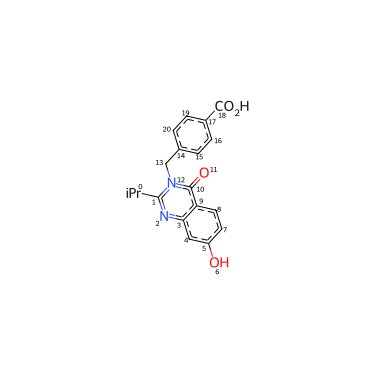 CC(C)c1nc2cc(O)ccc2c(=O)n1Cc1ccc(C(=O)O)cc1